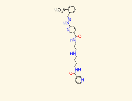 O=C(NCCCCNCCCNC(=O)c1ccc(NN=Cc2ccccc2S(=O)(=O)O)nc1)c1cccnc1